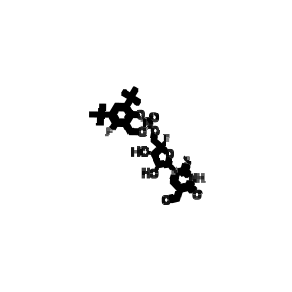 CC(C)(C)c1cc(C(C)(C)C)c2c(c1F)COP(=O)(OC[C@@]1(F)O[C@@H](n3cc(C=O)c(=O)[nH]c3=S)[C@H](O)[C@@H]1O)O2